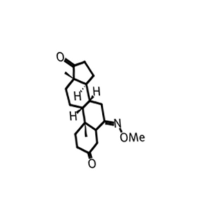 CO/N=C1/C[C@@H]2[C@@H](CC[C@]3(C)C(=O)CC[C@@H]23)[C@@]2(C)CCC(=O)CC12